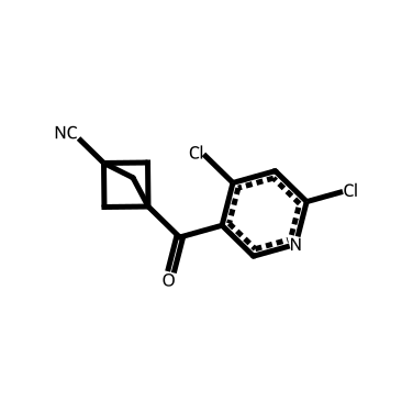 N#CC12CC(C(=O)c3cnc(Cl)cc3Cl)(C1)C2